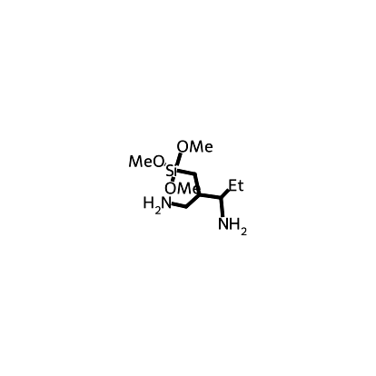 CCC(N)C(CN)C[Si](OC)(OC)OC